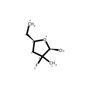 CC[C@@H]1CC(C)(F)[C@H](Cl)O1